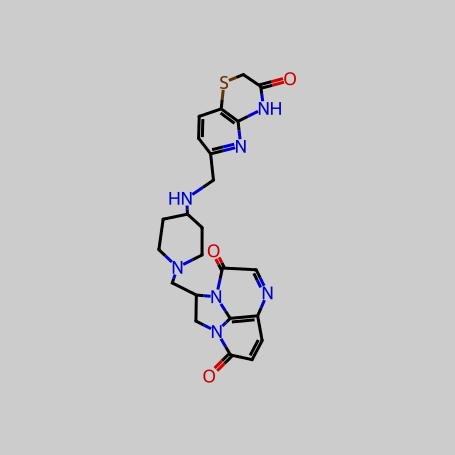 O=C1CSc2ccc(CNC3CCN(CC4Cn5c(=O)ccc6ncc(=O)n4c65)CC3)nc2N1